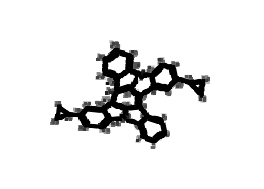 c1ccc2c(c1)c1c3c4cc(C5CC5)ccc4n4c5ccccc5c(c5c6cc(C7CC7)ccc6n2c15)c34